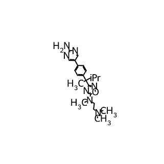 CC(C)C(C)(c1ccc(-c2cnc(N)nc2)cc1)c1noc(N(C)CCN(C)C)n1